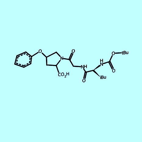 CC[C@H](C)[C@H](NC(=O)OC(C)(C)C)C(=O)NCC(=O)N1CC(Oc2ccccc2)CC1C(=O)O